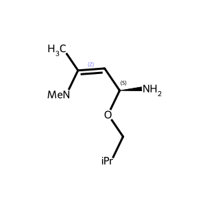 CN/C(C)=C\[C@@H](N)OCC(C)C